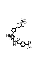 C[C@@H](CCC1CCC(c2cc(NC(=O)Cc3ccc(C(=O)N(C)C)cc3)n[nH]2)C1)NC(=O)O